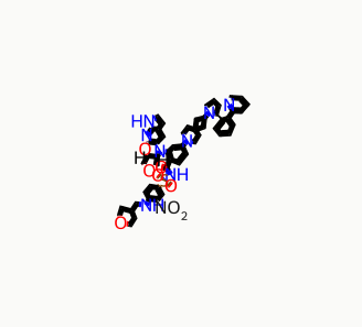 O=C(NS(=O)(=O)c1ccc(NCC2CCOCC2)c([N+](=O)[O-])c1)c1ccc(N2CCC3(CC2)CC(N2CCC[C@H]2c2ccccc2-c2ccccn2)C3)cc1N1c2cc3cc[nH]c3nc2O[C@@H]2COC[C@H]21